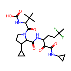 CC(F)(F)CCC(NC(=O)C1C(C2CC2)CCN1C(=O)C(NC(=O)O)C(C)(C)C)C(=O)C(=O)NC1CC1